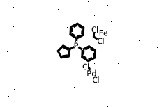 C1=CC(P(c2ccccc2)c2ccccc2)=CC1.ClCCl.[Cl][Pd][Cl].[Fe]